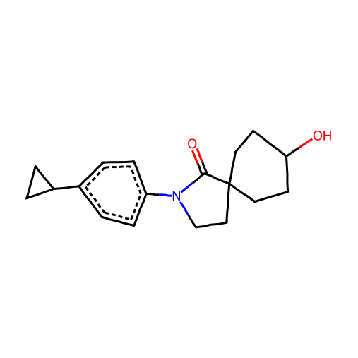 O=C1N(c2ccc(C3CC3)cc2)CCC12CCC(O)CC2